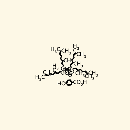 CC(C)=CCC/C(C)=C/COP(=O)(OC/C=C(\C)CCC=C(C)C)OP(=O)(OC/C=C(\C)CCC=C(C)C)OC/C=C(\C)CCC=C(C)C.O=C(O)c1ccc(O)cc1